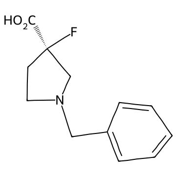 O=C(O)[C@@]1(F)CCN(Cc2ccccc2)C1